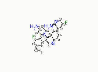 Cc1cc(F)cc(-c2cnc3ccc(-c4cc(F)cnc4N)cc3c2N2CCC(N)CC2)c1